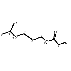 CCC(=O)OCCCSC(C)C